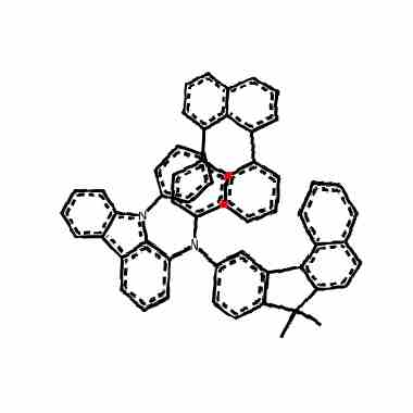 CC1(C)c2ccc(N(c3ccc(-c4cccc5cccc(-c6ccccc6)c45)cc3)c3cccc4c5ccccc5n(-c5ccccc5)c34)cc2-c2c1ccc1ccccc21